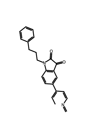 C=N/C=C\C(=C/C)c1ccc2c(c1)C(=O)C(=O)N2CCCc1ccccc1